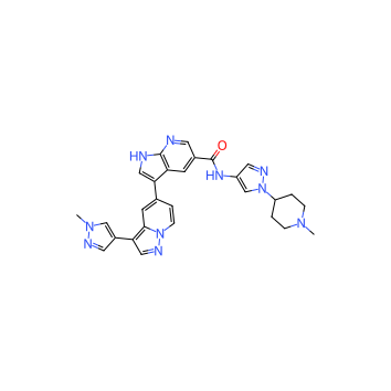 CN1CCC(n2cc(NC(=O)c3cnc4[nH]cc(-c5ccn6ncc(-c7cnn(C)c7)c6c5)c4c3)cn2)CC1